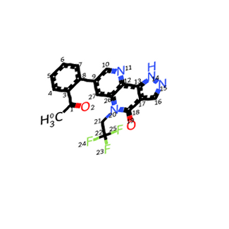 CC(=O)c1ccccc1-c1cnc2c3[nH]ncc3c(=O)n(CC(F)(F)F)c2c1